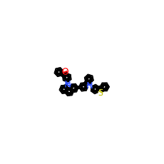 c1ccc2c(c1)oc1ccc(-n3c4cccc5ccc6cc(-c7ccc8c(c7)c7ccccc7n8-c7ccc8sc9ccccc9c8c7)cc3c6c54)cc12